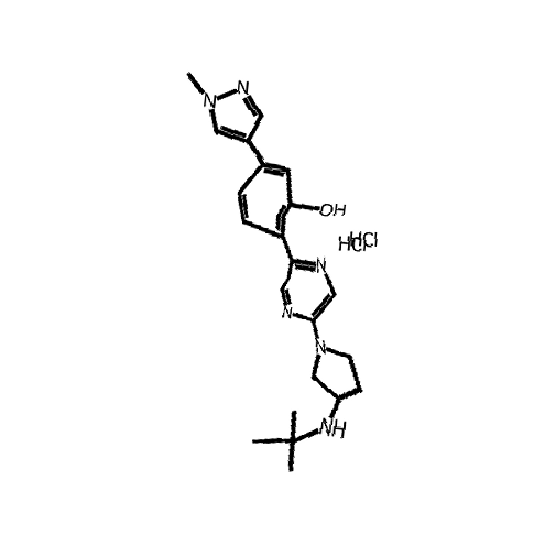 Cl.Cl.Cn1cc(-c2ccc(-c3cnc(N4CCC(NC(C)(C)C)C4)cn3)c(O)c2)cn1